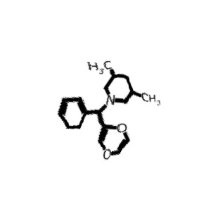 CC1CC(C)CN(C(C2=CC=CCC2)C2=COC=CO2)C1